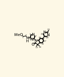 COCCNc1cncc(N2C(=O)C(C)(C)c3ccc(-c4cnc(C)nc4)cc32)n1